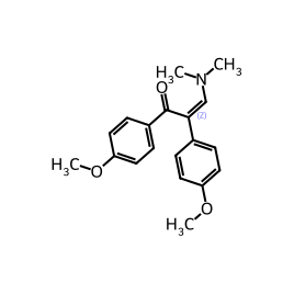 COc1ccc(C(=O)/C(=C\N(C)C)c2ccc(OC)cc2)cc1